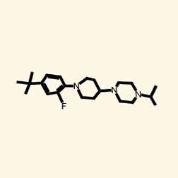 CC(C)N1CCN(C2CCN(c3ccc(C(C)(C)C)cc3F)CC2)CC1